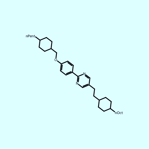 CCCCCCCCC1CCC(CCc2cnc(-c3ccc(OCC4CCC(CCCCC)CC4)cc3)nc2)CC1